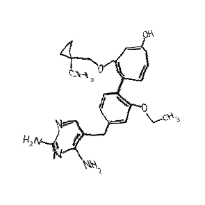 CCOc1cc(Cc2cnc(N)nc2N)ccc1-c1ccc(O)cc1OCC1(C)CC1